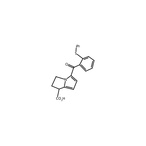 CC(C)Sc1ccccc1C(=O)c1ccc2n1CCC2C(=O)O